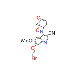 COc1cc2c(N3OC45CC46OC6=CC=C35)c(C#N)cnc2cc1OCCBr